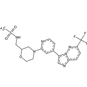 CS(=O)(=O)NCC1CN(c2cc(-c3cnc4ccc(C(F)(F)F)nn34)ccn2)CCO1